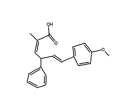 COc1ccc(C=CC(C=C(C)C(=O)O)c2ccccc2)cc1